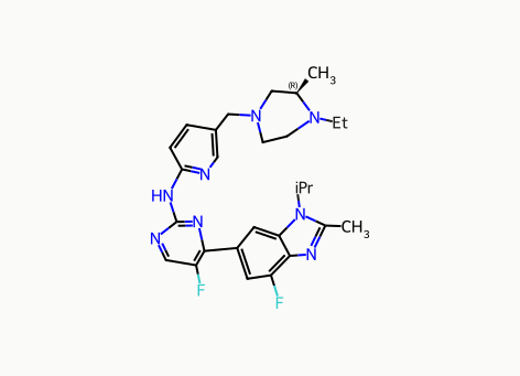 CCN1CCN(Cc2ccc(Nc3ncc(F)c(-c4cc(F)c5nc(C)n(C(C)C)c5c4)n3)nc2)C[C@H]1C